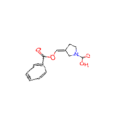 O=C(OC=C1CCN(C(=O)O)C1)c1ccccc1